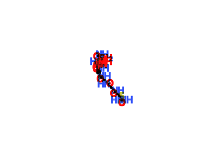 NC(=O)CC[C@H](NP(=O)(O)OC[C@H](NC(=O)c1ccc(CNC(=O)CCCCCNC(=O)CCCCCNC(=O)CCCCC2SCC3NC(=O)NC32)cc1)C(=O)O)C(=O)O